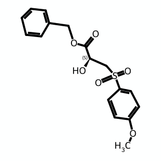 COc1ccc(S(=O)(=O)C[C@@H](O)C(=O)OCc2ccccc2)cc1